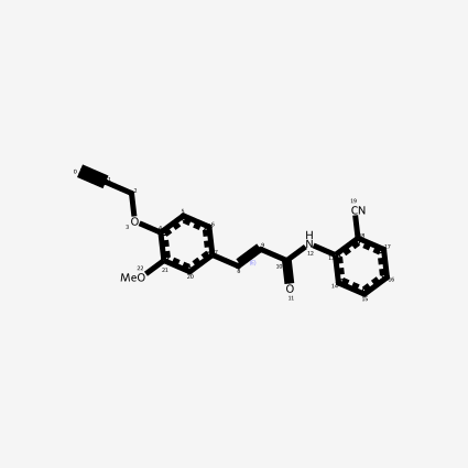 C#CCOc1ccc(/C=C/C(=O)Nc2ccccc2C#N)cc1OC